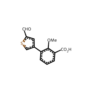 COc1c(C(=O)O)cccc1-c1csc(C=O)c1